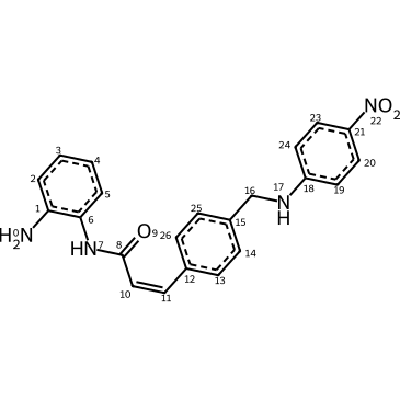 Nc1ccccc1NC(=O)/C=C\c1ccc(CNc2ccc([N+](=O)[O-])cc2)cc1